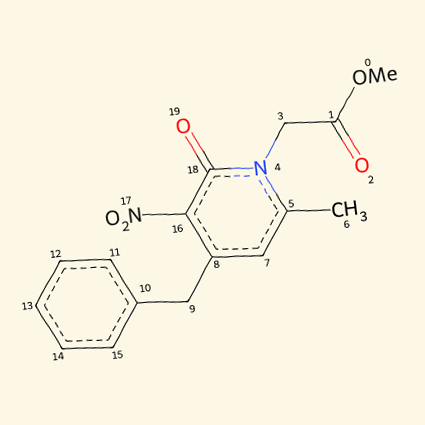 COC(=O)Cn1c(C)cc(Cc2ccccc2)c([N+](=O)[O-])c1=O